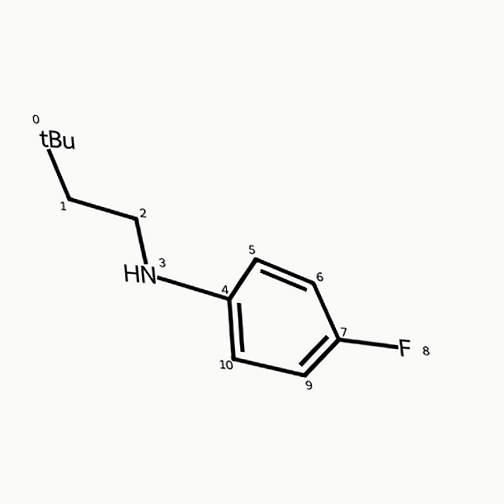 CC(C)(C)CCNc1ccc(F)cc1